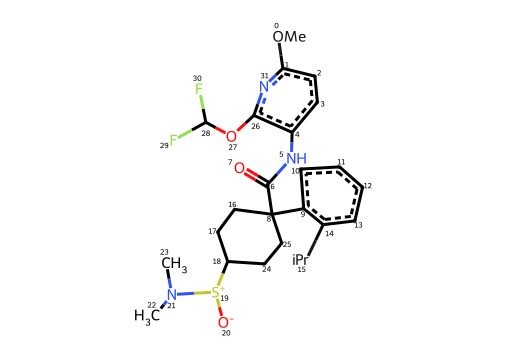 COc1ccc(NC(=O)C2(c3ccccc3C(C)C)CCC([S+]([O-])N(C)C)CC2)c(OC(F)F)n1